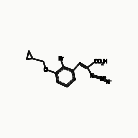 [N-]=[N+]=NC(=Cc1cccc(OCC2CC2)c1Br)C(=O)O